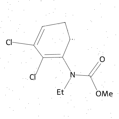 CCN(C(=O)OC)C1=C(Cl)C(Cl)=CC[CH]1